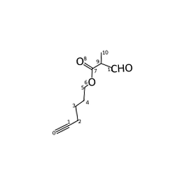 C#CCCCCOC(=O)C(C)C=O